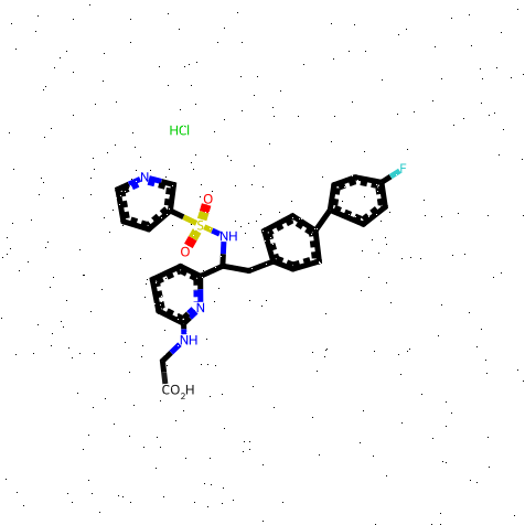 Cl.O=C(O)CNc1cccc(C(Cc2ccc(-c3ccc(F)cc3)cc2)NS(=O)(=O)c2cccnc2)n1